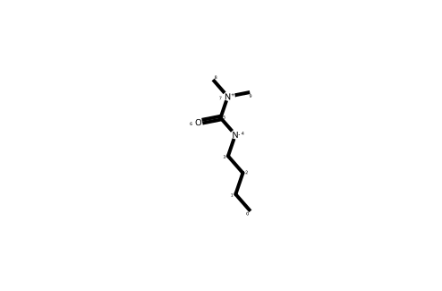 CCCC[N]C(=O)[N+](C)C